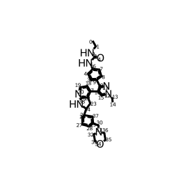 CCNC(=O)Nc1ccc(-c2nn(CC)cc2-c2ccnc3c2CC(c2cccc(CN4CCOCC4)c2)N3)cc1